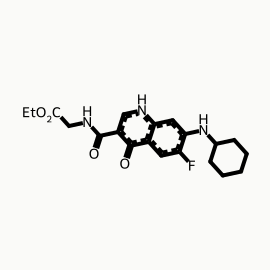 CCOC(=O)CNC(=O)c1c[nH]c2cc(NC3CCCCC3)c(F)cc2c1=O